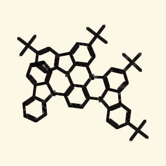 CC(C)(C)c1ccc2c(c1)-c1cc(C(C)(C)C)cc3c1B2c1ccc(-n2c4ccccc4c4ccccc42)c2c1N3c1cc(C(C)(C)C)cc3c1B2c1ccc(C(C)(C)C)cc1-3